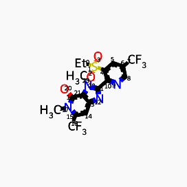 CCS(=O)(=O)c1cc(C(F)(F)F)cnc1-c1nc2cc(C(F)(F)F)n(C)c(=O)c2n1C